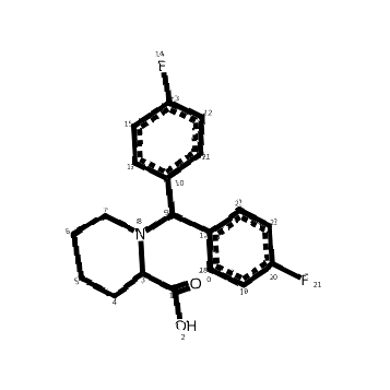 O=C(O)C1CCCCN1C(c1ccc(F)cc1)c1ccc(F)cc1